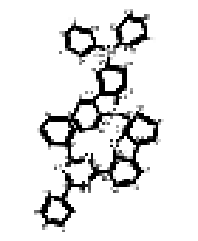 c1ccc(-c2nc(-c3ccccc3)nc(-c3cccc4c3oc3c(-n5c6ccccc6c6cc(N(c7ccccc7)c7ccccc7)ccc65)cccc34)n2)cc1